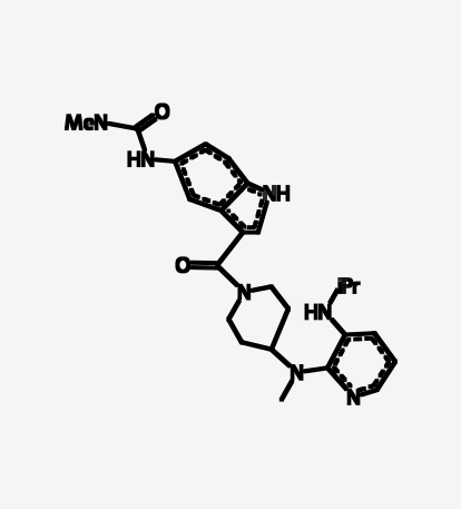 CNC(=O)Nc1ccc2[nH]cc(C(=O)N3CCC(N(C)c4ncccc4NC(C)C)CC3)c2c1